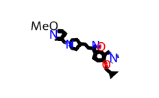 COc1ccc(CN2CCC(CCc3noc4c(CN(C)C)c(OCC5CC5)ccc34)CC2)cn1